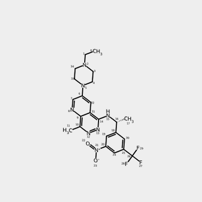 CCN1CCN(c2cnc3c(C)nnc(N[C@H](C)c4cc([N+](=O)[O-])cc(C(F)(F)F)c4)c3c2)CC1